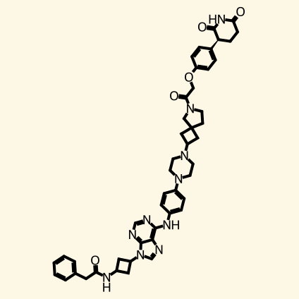 O=C1CC[C@@H](c2ccc(OCC(=O)N3CCC4(CC(N5CCN(c6ccc(Nc7ncnc8c7ncn8C7CC(NC(=O)Cc8ccccc8)C7)cc6)CC5)C4)C3)cc2)C(=O)N1